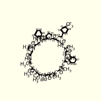 CCC(C)[C@@H]1NC(=O)[C@H](C)N(C)C(=O)C[C@@H](C)NC(=O)[C@H](CC(C)C)N(C)C(=O)[C@H](Cc2ccccc2)N(C)C(=O)[C@@H]2CCCN2C(=O)[C@H](CCc2ccc(C(F)(F)F)cc2)NC(=O)CN(C)C(=O)[C@H](CC2CCCCC2)N(C)C(=O)CN(C)C(=O)CN(C)C1=O